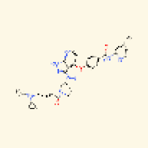 CCCc1ccnc(NC(=O)c2ccc(Oc3ccnc4[nH]nc(NC5CCN(C(=O)/C=C/CN(C)C6CC6)C5)c34)cc2)c1